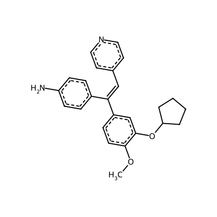 COc1ccc(C(=Cc2ccncc2)c2ccc(N)cc2)cc1OC1CCCC1